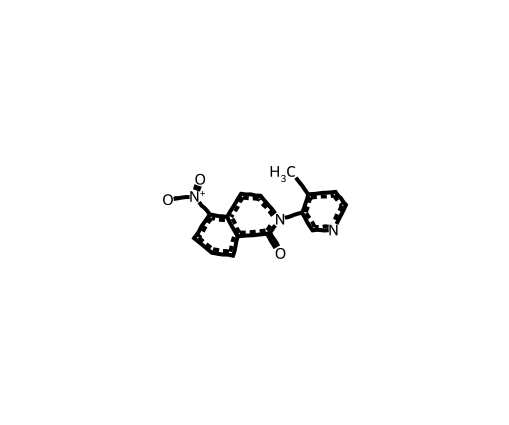 Cc1ccncc1-n1ccc2c([N+](=O)[O-])cccc2c1=O